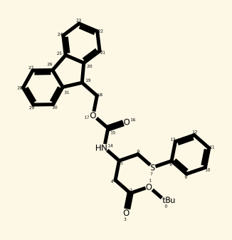 CC(C)(C)OC(=O)CC(CSc1ccccc1)NC(=O)OCC1c2ccccc2-c2ccccc21